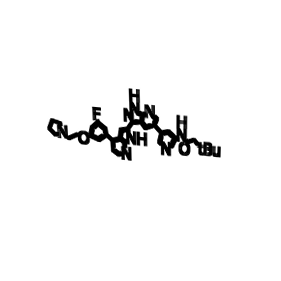 CC(C)(C)CC(=O)Nc1cncc(-c2cnc3[nH]nc(-c4cc5c(-c6cc(F)cc(OCCN7CCCC7)c6)ccnc5[nH]4)c3c2)c1